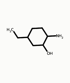 CCC1CCC(N)C(O)C1